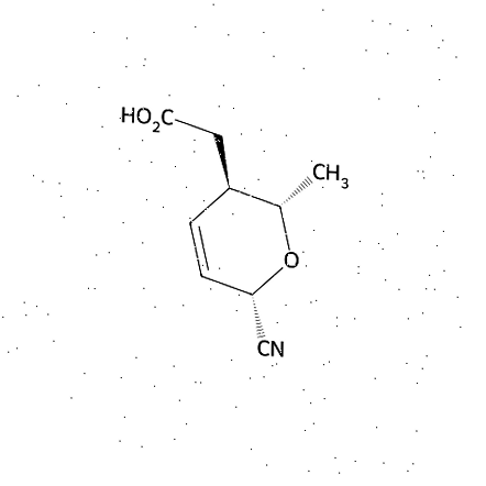 C[C@@H]1O[C@H](C#N)C=C[C@H]1CC(=O)O